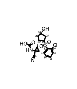 N#CC1(NC(=O)O)CC1.O=S(=O)(c1ccccc1Cl)[C@@H]1CC[C@@H](O)C1